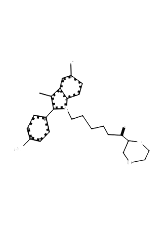 Cc1c(-c2ccc(O)cc2)n(CCCCCC(=O)C2CNCCO2)c2ccc(O)cc12